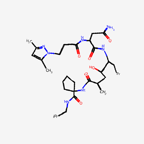 Cc1cc(C)n(CCC(=O)NC(CC(N)=O)C(=O)NC(CC(C)C)C(O)CC(C)C(=O)NC2(C(=O)NCC(C)C)CCCC2)n1